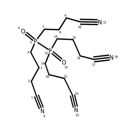 N#CCCCP(=O)(CCCC#N)P(=O)(CCCC#N)CCCC#N